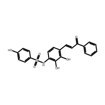 O=C(C=Cc1ccc(NS(=O)(=O)c2ccc(O)cc2)c(O)c1O)c1ccccc1